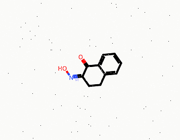 O=C1/C(=N\O)CCc2ccccc21